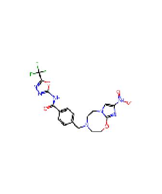 O=C(Nc1nnc(C(F)(F)F)o1)c1ccc(CN2CCOc3nc([N+](=O)[O-])cn3CC2)cc1